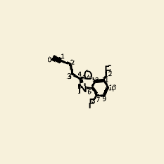 C#CCCc1nc2c(F)ccc(F)c2o1